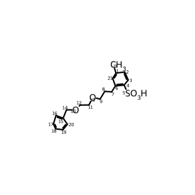 Cc1ccc(S(=O)(=O)O)c(CCCOCCOCc2ccccc2)c1